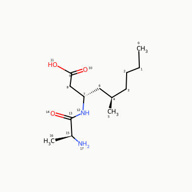 CCCC[C@@H](C)C[C@@H](CC(=O)O)NC(=O)[C@H](C)N